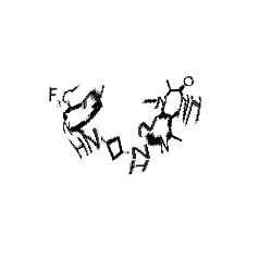 Cc1nc(N[C@H]2C[C@@H](Nc3cnc(C(F)(F)F)cn3)C2)nc2c1NC(=O)[C@H](C)N2C